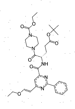 CCOC=Cc1cc(C(=O)N[C@@H](CCC(=O)OC(C)(C)C)C(=O)N2CCN(C(=O)OCC)CC2)nc(-c2ccccc2)n1